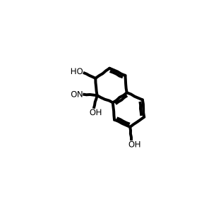 O=NC1(O)c2cc(O)ccc2C=CC1O